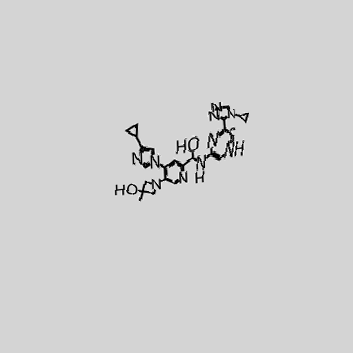 CC1(O)CN(c2cnc(C(O)NC3=CNSC(c4nncn4C4CC4)=N3)cc2-n2cnc(C3CC3)c2)C1